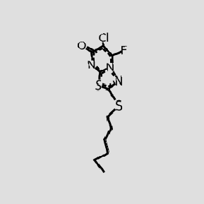 CCCCCCSc1nn2c(F)c(Cl)c(=O)nc2s1